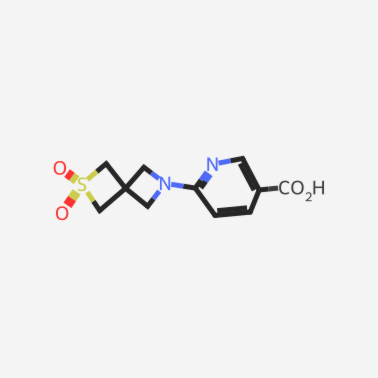 O=C(O)c1ccc(N2CC3(C2)CS(=O)(=O)C3)nc1